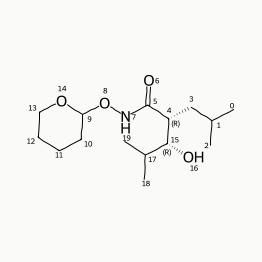 CC(C)C[C@@H](C(=O)NOC1CCCCO1)[C@H](O)C(C)C